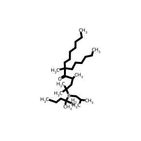 CCCCCCCC(C)(CCCCCC)C(=O)C(C)CC(C)(C)B(CC(C)C)C(C)(N)CCC